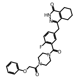 O=C(COc1ccccc1)N1CCN(C(=O)c2cc(Cc3n[nH]c(=O)c4c3CCCC4)ccc2F)CC1